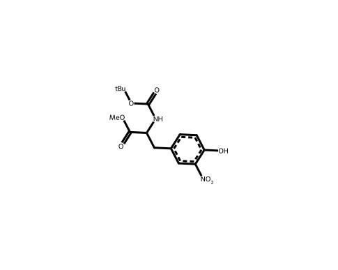 COC(=O)C(Cc1ccc(O)c([N+](=O)[O-])c1)NC(=O)OC(C)(C)C